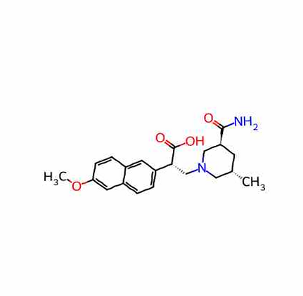 COc1ccc2cc([C@@H](CN3C[C@@H](C)C[C@H](C(N)=O)C3)C(=O)O)ccc2c1